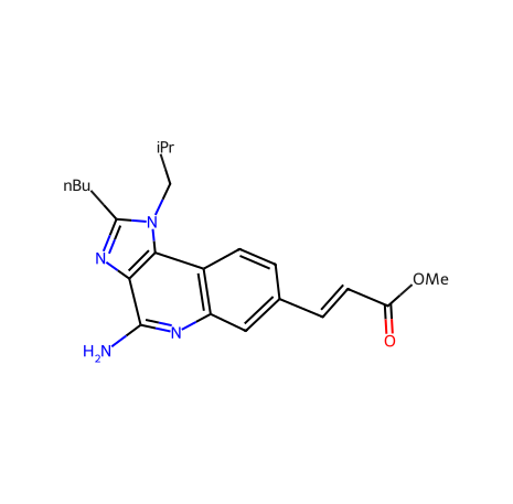 CCCCc1nc2c(N)nc3cc(/C=C/C(=O)OC)ccc3c2n1CC(C)C